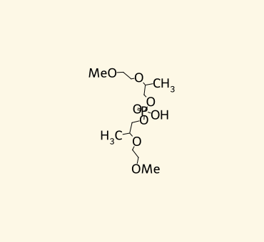 COCCOC(C)COP(=O)(O)OCC(C)OCCOC